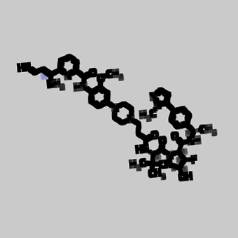 COc1cc(N2CCN(CCC(=O)N[C@H](C(=O)N3C[C@H](O)[C@H](F)[C@@H]3C(=O)N[C@@H](C)c3ccc(-c4ccnn4C)cc3)C(C)(C)C)CC2)ccc1NC(=O)c1cccc(/C(N)=C/C=N)n1